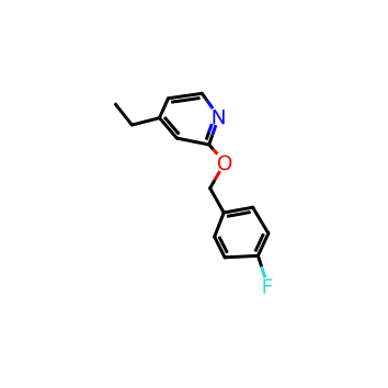 CCc1ccnc(OCc2ccc(F)cc2)c1